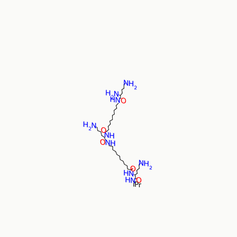 CC(C)NC(=O)C(CCCCN)NC(=O)CCCCCCCCCCCNC(=O)C(CCCCN)NC(=O)CCCCCCCCCCCNC(=O)C(N)CCCCN